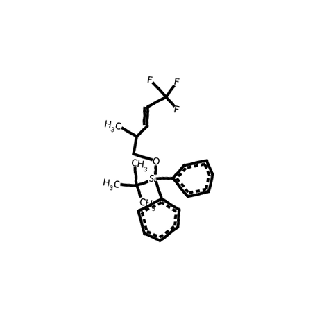 CC(C=CC(F)(F)F)CO[Si](c1ccccc1)(c1ccccc1)C(C)(C)C